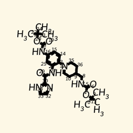 CC(C)(C)OC(=O)NCC1CCN(c2ccc(NC(=O)OC(C)(C)C)cc2NC(=O)c2ncc[nH]2)CC1